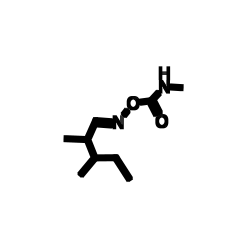 CCC(C)C(C)/C=N/OC(=O)NC